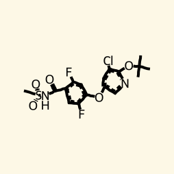 CC(C)(C)Oc1ncc(Oc2cc(F)c(C(=O)NS(C)(=O)=O)cc2F)cc1Cl